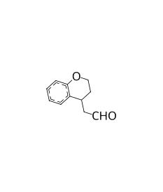 O=CCC1CCOc2ccccc21